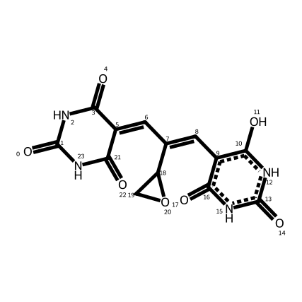 O=C1NC(=O)C(=C/C(=C/c2c(O)[nH]c(=O)[nH]c2=O)C2CO2)C(=O)N1